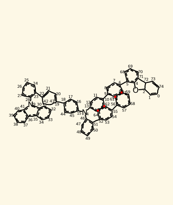 C1=CC2Oc3c(-c4ccc(-c5ccc(N(c6ccc(C7=CC=C(c8ccccc8-n8c9ccccc9c9ccccc98)CC7)cc6)c6ccccc6-c6ccc(-c7ccccc7)cc6)cc5)cc4)cccc3C2C=C1